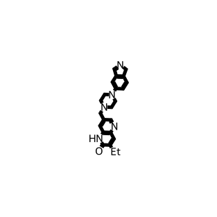 CCc1cc2ncc(CN3CCN(c4ccc5c(c4)C=NC5)CC3)cc2[nH]c1=O